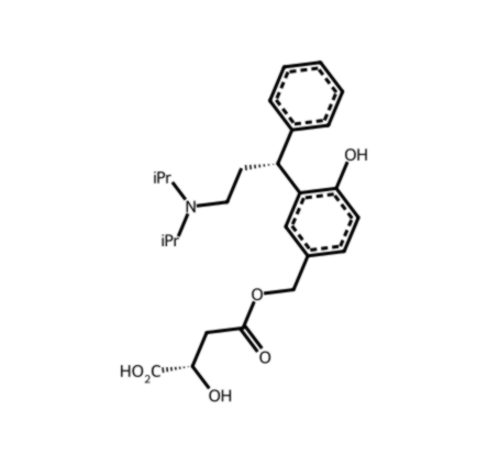 CC(C)N(CC[C@H](c1ccccc1)c1cc(COC(=O)C[C@H](O)C(=O)O)ccc1O)C(C)C